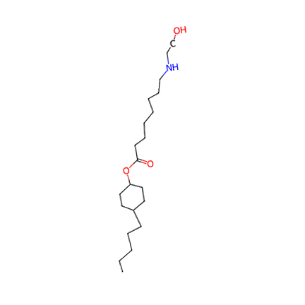 CCCCCC1CCC(OC(=O)CCCCCCCNCCO)CC1